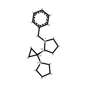 c1ccc(CN2CCC[C@H]2C2(N3CCCC3)CC2)cc1